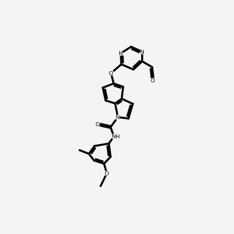 COc1cc(C)cc(NC(=O)n2ccc3cc(Oc4cc(C=O)ncn4)ccc32)c1